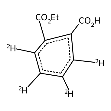 [2H]c1c([2H])c([2H])c(C(=O)OCC)c(C(=O)O)c1[2H]